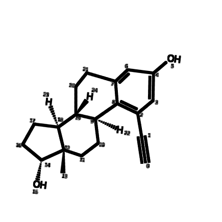 C#Cc1cc(O)cc2c1[C@H]1CC[C@]3(C)[C@H](O)CC[C@H]3[C@@H]1CC2